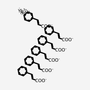 O=C([O-])C=Cc1ccccc1.O=C([O-])C=Cc1ccccc1.O=C([O-])C=Cc1ccccc1.O=C([O-])C=Cc1ccccc1.O=C([O-])C=Cc1ccccc1.O=C([O-])C=Cc1ccccc1.[Nd+3].[Yb+3]